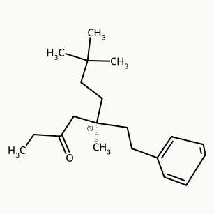 CCC(=O)C[C@](C)(CCc1ccccc1)CCC(C)(C)C